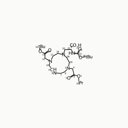 CC(C)OC(=O)CN1CCNCCN(CC(=O)OC(C)(C)C)CCN(C[C@@H](NC(=O)OC(C)(C)C)C(=O)O)CC1